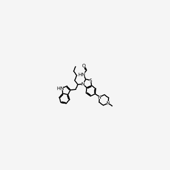 CCCCC(Cc1c[nH]c2ccccc12)N1c2ccc(N3CCN(C)CC3)cc2SC1NC=O